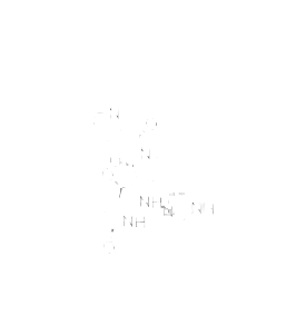 CN(C(=O)[C@@H]1CCCN1C)C(=O)[C@@](N)(Cc1c[nH]cn1)C(=O)[C@@H]1CC(=O)N1